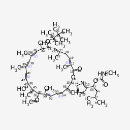 CNC(=O)O[C@@H](CC(C)C)c1nc([C@H]2OC(=O)/C(C)=C/C/C(C)=C/[C@@H](O[Si](C)(C)C(C)(C)C)[C@@H](C)\C=C(C)/C=C(C)/C=C/[C@@H](O)[C@H](C)[C@H](OC)/C(C)=C/C=C/[C@@H]2C)cs1